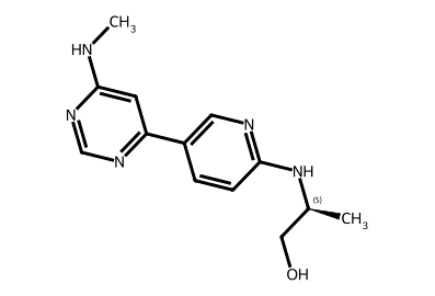 CNc1cc(-c2ccc(N[C@@H](C)CO)nc2)ncn1